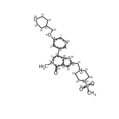 Cn1cc(-c2cncc(OCC3CCOCC3)c2)c2sc(CN3CCN(S(C)(=O)=O)CC3)cc2c1=O